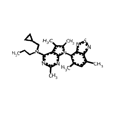 CCCN(CC1CC1)c1nc(C)nc2c1c(C)c(C)n2-c1c(C)cc(C)c2nsnc12